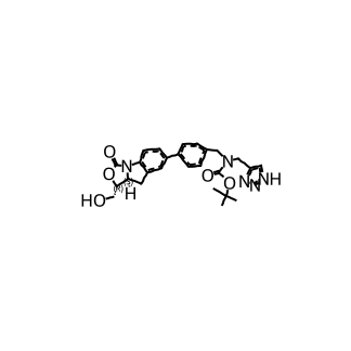 CC(C)(C)OC(=O)N(Cc1ccc(-c2ccc3c(c2)C[C@H]2[C@H](CO)OC(=O)N32)cc1)Cc1c[nH]nn1